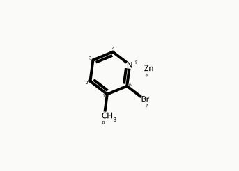 Cc1cccnc1Br.[Zn]